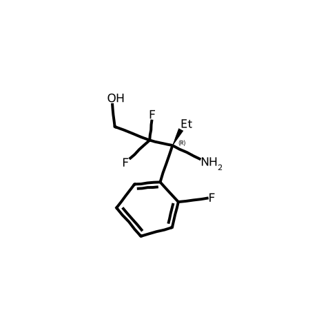 CC[C@@](N)(c1ccccc1F)C(F)(F)CO